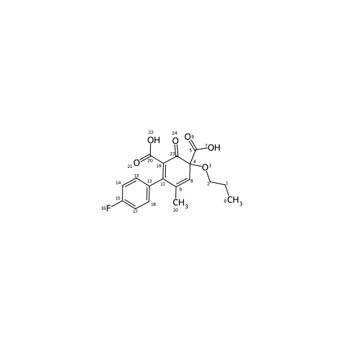 CCCOC1(C(=O)O)C=C(C)C(c2ccc(F)cc2)=C(C(=O)O)C1=O